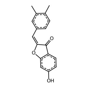 Cc1ccc(C=C2Oc3cc(O)ccc3C2=O)cc1C